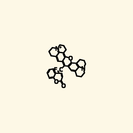 FC(F)(F)C1=c2cc3c4c(c2Oc2c1cc1c5c2CCCN5CCC1)CCC[N+]=4CCC3.O=c1ccc2ccccc2o1